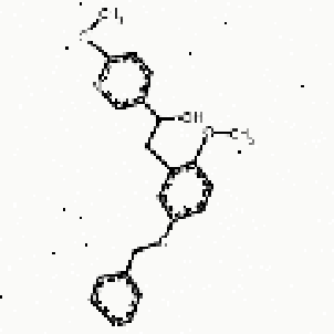 COc1ccc(C(O)Cc2cc(OCc3ccccc3)ccc2OC)cn1